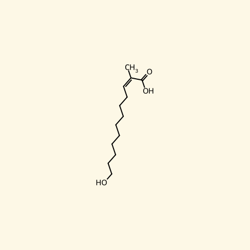 CC(=CCCCCCCCCCO)C(=O)O